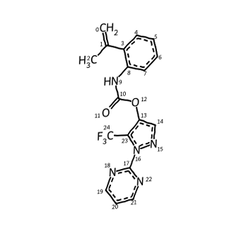 C=C(C)c1ccccc1NC(=O)Oc1cnn(-c2ncccn2)c1C(F)(F)F